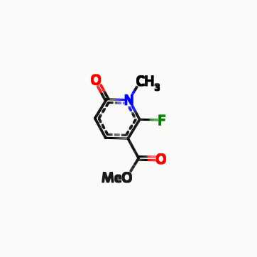 COC(=O)c1ccc(=O)n(C)c1F